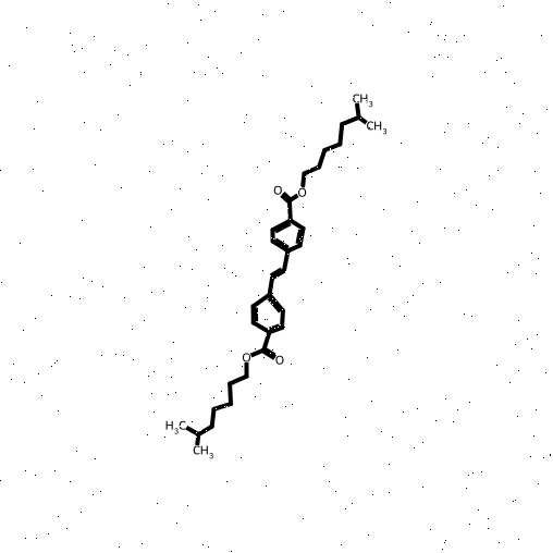 CC(C)CCCCCOC(=O)c1ccc(C=Cc2ccc(C(=O)OCCCCCC(C)C)cc2)cc1